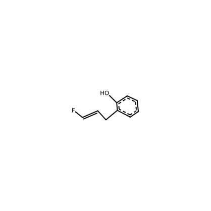 Oc1ccccc1CC=CF